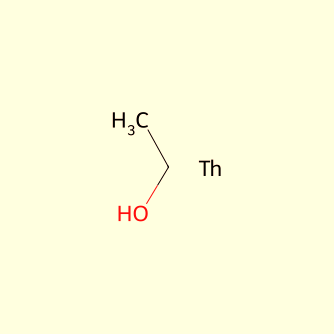 CCO.[Th]